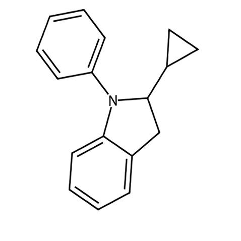 c1ccc(N2c3ccccc3CC2C2CC2)cc1